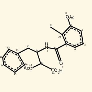 CC(=O)Oc1cccc(C(=O)NC(Cc2ccccc2)C(OC(C)=O)C(=O)O)c1C